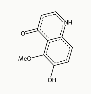 COc1c(O)ccc2[nH]ccc(=O)c12